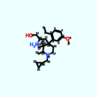 CCc1ccc(OC)cc1C1(CC(N)CO)CCN(CC2CC2)C(C)C1(C)C